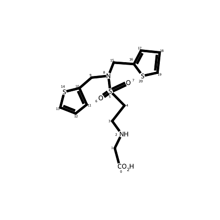 O=C(O)CNCCS(=O)(=O)N(Cc1cccs1)Cc1cccs1